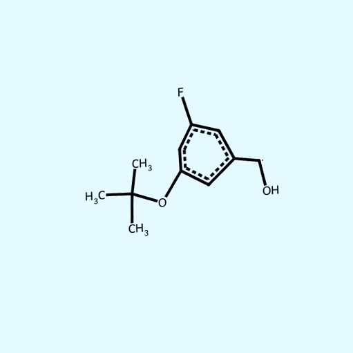 CC(C)(C)Oc1cc(F)cc([CH]O)c1